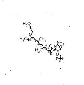 C=N\C(=C/N=C(C)/C(F)=C/C(C)=C/C=C(/F)C(=C)[C@@]1(C)N=C(N)OC[C@@H]1OCC(F)(F)F)OCC#CC